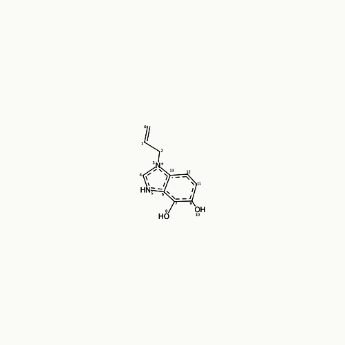 C=CC[n+]1c[nH]c2c(O)c(O)ccc21